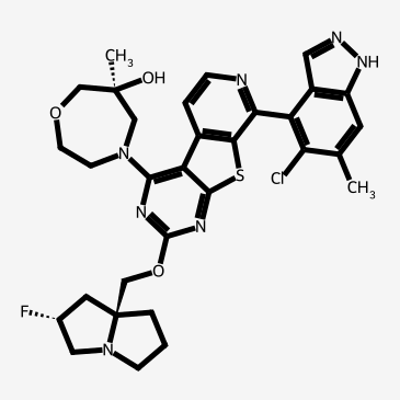 Cc1cc2[nH]ncc2c(-c2nccc3c2sc2nc(OC[C@@]45CCCN4C[C@H](F)C5)nc(N4CCOC[C@@](C)(O)C4)c23)c1Cl